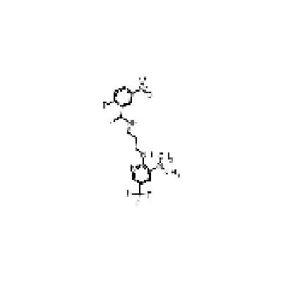 CN(C)c1cc(C(F)(F)F)cnc1NCCCNC(=O)c1cc([N+](=O)[O-])ccc1F